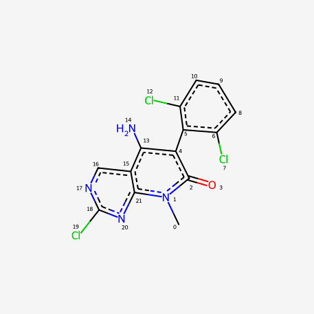 Cn1c(=O)c(-c2c(Cl)cccc2Cl)c(N)c2cnc(Cl)nc21